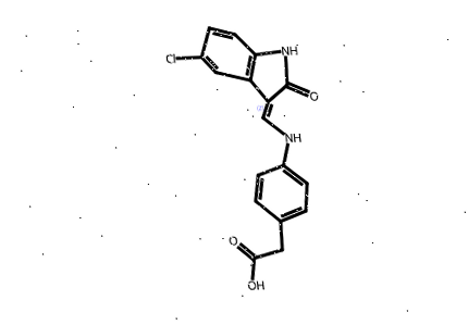 O=C(O)Cc1ccc(N/C=C2\C(=O)Nc3ccc(Cl)cc32)cc1